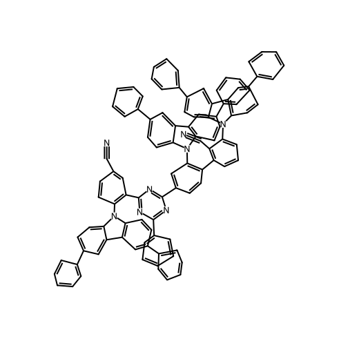 N#Cc1ccc(-n2c3ccc(-c4ccccc4)cc3c3cc(-c4ccccc4)ccc32)c(-c2nc(-c3ccccc3)nc(-c3ccc(-c4cccc(-n5c6ccc(-c7ccccc7)cc6c6cc(-c7ccccc7)ccc65)c4C#N)c(-n4c5ccc(-c6ccccc6)cc5c5cc(-c6ccccc6)ccc54)c3)n2)c1